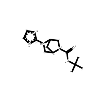 CC(C)(C)OC(=O)N1CC2CC1CN2c1nccs1